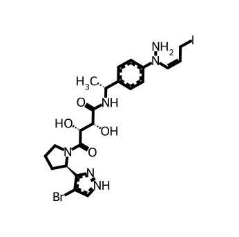 C[C@@H](NC(=O)[C@H](O)[C@@H](O)C(=O)N1CCC[C@@H]1c1n[nH]cc1Br)c1ccc(N(N)/C=C\CI)cc1